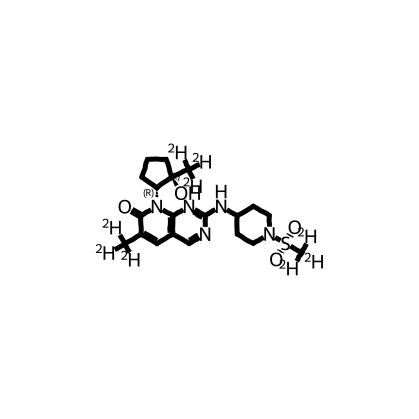 [2H]C([2H])([2H])c1cc2cnc(NC3CCN(S(=O)(=O)C([2H])([2H])[2H])CC3)nc2n([C@@H]2CCC[C@]2(O)C([2H])([2H])[2H])c1=O